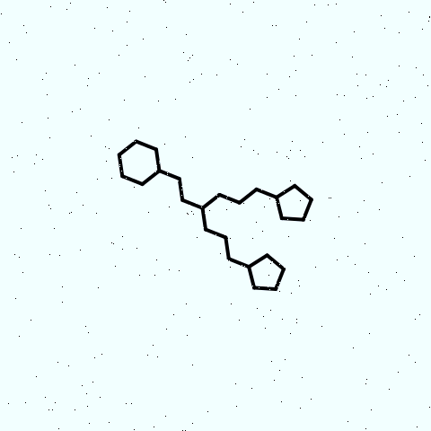 C1CCC(CCC(CCCC2CCCC2)CCCC2CCCC2)CC1